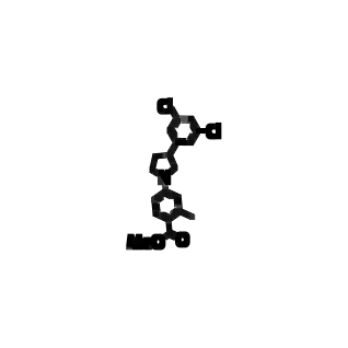 COC(=O)c1ccc(N2CCC(c3cc(Cl)cc(Cl)c3)C2)cc1C